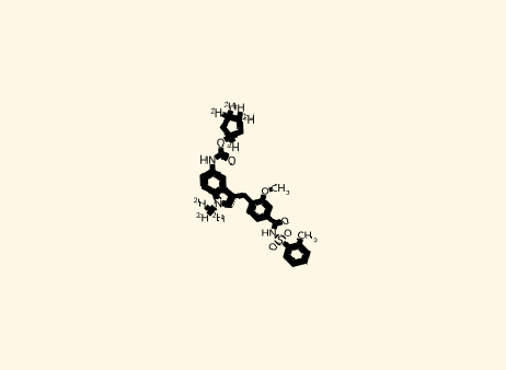 [2H]C1(OC(=O)Nc2ccc3c(c2)c(Cc2ccc(C(=O)NS(=O)(=O)c4ccccc4C)cc2OC)cn3C([2H])([2H])[2H])CC([2H])([2H])C([2H])([2H])C1